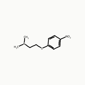 CN(C)CCSc1ccc([N+](=O)[O-])cc1